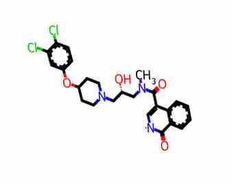 CN(C[C@@H](O)CN1CCC(Oc2ccc(Cl)c(Cl)c2)CC1)C(=O)C1=C[N]C(=O)c2ccccc21